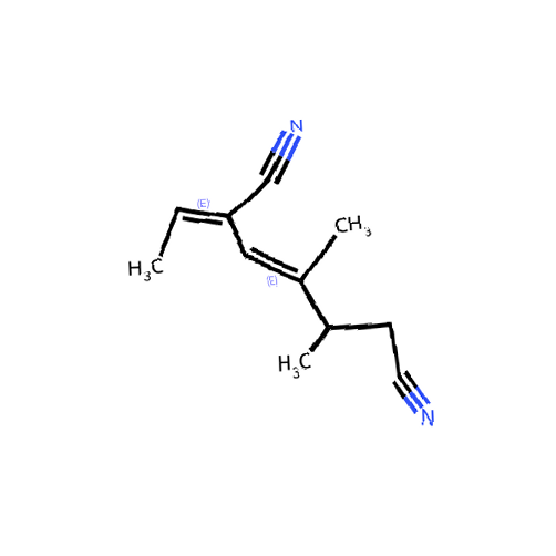 C/C=C(C#N)\C=C(/C)C(C)CC#N